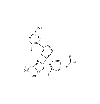 COc1ccc(F)c(-c2cccc(C3(c4ccc(OC(F)F)cc4F)COC(N)=N3)c2)c1.O=CO